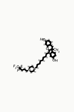 CC1(c2ccc(O)cc2)Cc2ccc(O)cc2OC1CCCCCCCCCN1CCN(CCCC(F)(F)C(F)(F)F)CC1